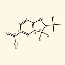 CC(C)(C)C1Oc2ccc(C(=O)Cl)cc2C1(C)C